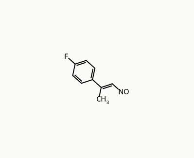 CC(=CN=O)c1ccc(F)cc1